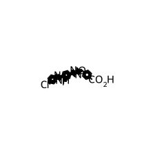 O=C(O)[C@H]1CC[C@@H](Oc2cnc(-c3ccc(-c4nc5ccc(Cl)cc5[nH]4)c(F)c3)cn2)CC1